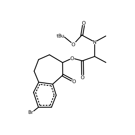 CC(C(=O)OC1CCCc2cc(Br)ccc2C1=O)N(C)C(=O)OC(C)(C)C